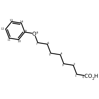 O=C(O)CCCCCCCOc1ccccc1